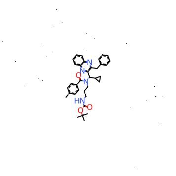 Cc1ccc(C(=O)N(CCCNC(=O)OC(C)(C)C)C(c2nc3ccccc3nc2Cc2ccccc2)C2CC2)cc1